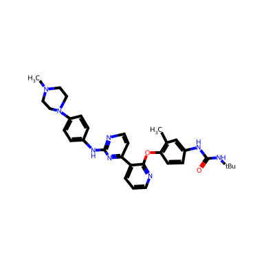 Cc1cc(NC(=O)NC(C)(C)C)ccc1Oc1ncccc1-c1ccnc(Nc2ccc(N3CCN(C)CC3)cc2)n1